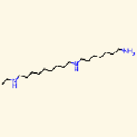 CCNCCCCCCCCCNCCCCCCCN